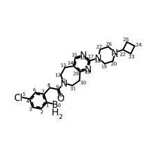 Bc1ccc(Cl)cc1CC(=O)N1CCc2cnc(N3CCN(C4CCC4)CC3)nc2CC1